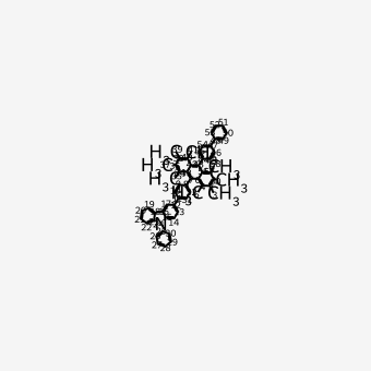 Cc1c(C)c(C)c2c(-c3ccc(-c4ccc5c(c4)c4ccccc4n5-c4ccccc4)cc3)c3c(C)c(C)c(C)c(C)c3c(-c3ccc(-c4ccccc4)cc3)c2c1C